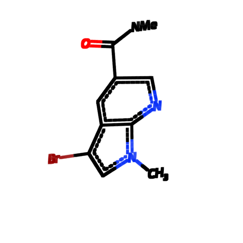 CNC(=O)c1cnc2c(c1)c(Br)cn2C